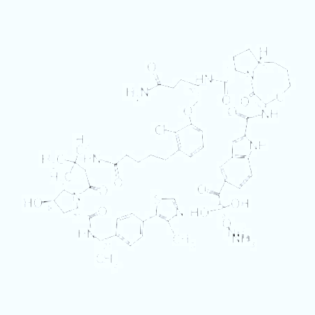 Cc1ncsc1-c1ccc([C@H](C)NC(=O)[C@@H]2C[C@@H](O)CN2C(=O)[C@@H](NC(=O)CCCCc2cccc(OC[C@H](CCC(N)=O)NC(=O)[C@@H]3CC[C@@H]4CCCC[C@H](NC(=O)c5cc6cc(C(=O)P(=O)(O)O)ccc6[nH]5)C(=O)N43)c2Cl)C(C)(C)C)cc1.N.N